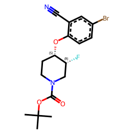 CC(C)(C)OC(=O)N1CC[C@H](Oc2ccc(Br)cc2C#N)[C@H](F)C1